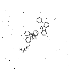 C=C=CC1=CC(C)(Nc2cc(-c3cccc4c3oc3c(-c5ccccc5)cccc34)ccc2-c2ccccc2)CC=C1